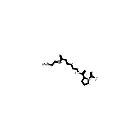 C=C(CCCCCNC(=C)C1CCCN1C(=C)CC)NCCNC